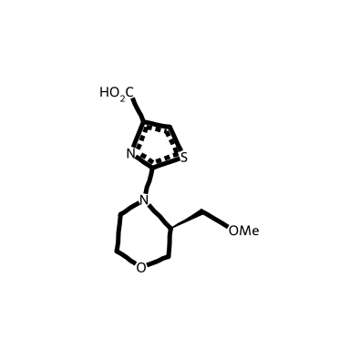 COC[C@H]1COCCN1c1nc(C(=O)O)cs1